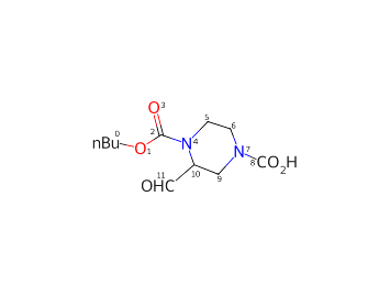 CCCCOC(=O)N1CCN(C(=O)O)CC1C=O